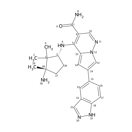 CC1(C)[C@H](Nc2c(C(N)=O)cnn3cc(-c4ccc5[nH]ncc5c4)cc23)CC[C@]1(C)N